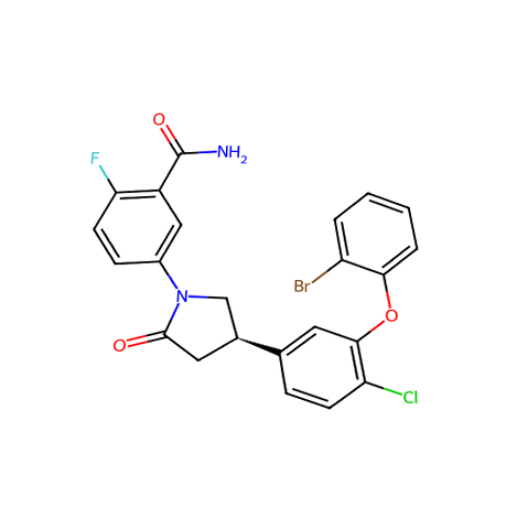 NC(=O)c1cc(N2C[C@@H](c3ccc(Cl)c(Oc4ccccc4Br)c3)CC2=O)ccc1F